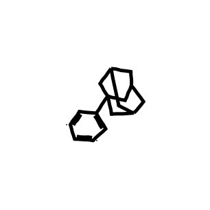 [c]1c[c]cc(C23CC4CC(CC(C4)C2)C3)c1